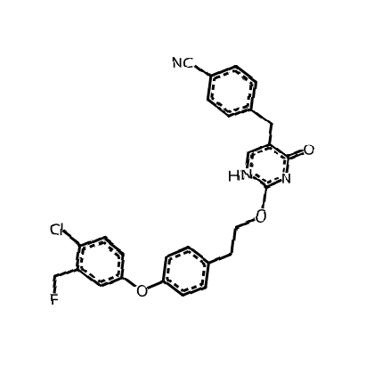 N#Cc1ccc(Cc2c[nH]c(OCCc3ccc(Oc4ccc(Cl)c(CF)c4)cc3)nc2=O)cc1